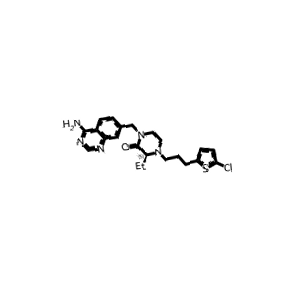 CC[C@H]1C(=O)N(Cc2ccc3c(N)ncnc3c2)CCN1CCCc1ccc(Cl)s1